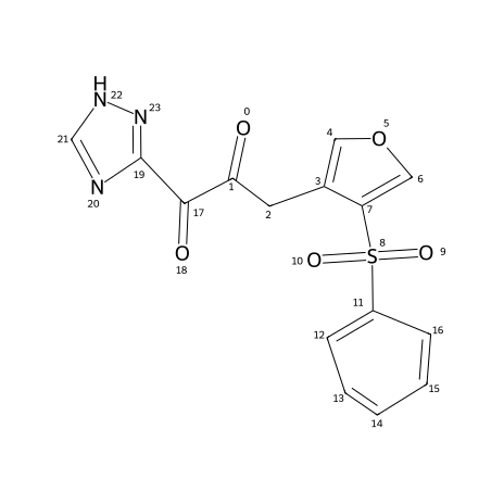 O=C(Cc1cocc1S(=O)(=O)c1ccccc1)C(=O)c1nc[nH]n1